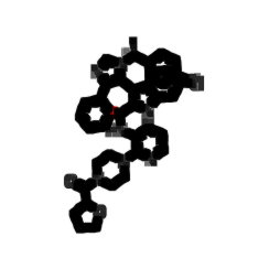 C=C(Nc1cccnc1N1CCN(C(=O)C2CCCO2)CC1)c1[nH]c2cc(Cl)ccc2c1-c1c(-c2ccccc2)ncn1[C@@H](C)c1ccc(Cl)cc1